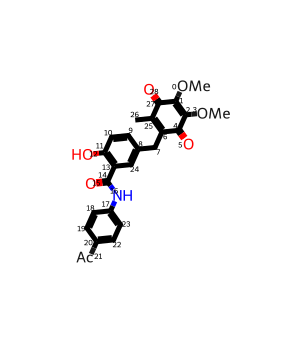 COC1=C(OC)C(=O)C(Cc2ccc(O)c(C(=O)Nc3ccc(C(C)=O)cc3)c2)=C(C)C1=O